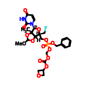 COC1O[C@@H]2[C@@](CF)(COP(=O)(OCOC(=O)OC3COC3)OCc3ccccc3)O[C@@H](n3ccc(=O)[nH]c3=O)[C@]2(C)O1